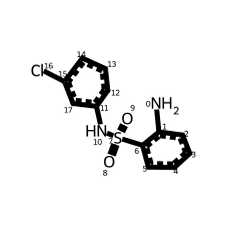 Nc1ccccc1S(=O)(=O)Nc1cccc(Cl)c1